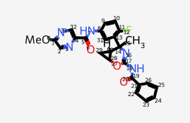 COc1cnc(C(=O)Nc2ccc(F)c(C3(C)N=C(NC(=O)c4ccccc4)OC4C[C@H]43)c2)cn1